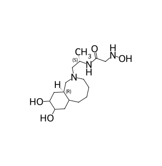 C[C@@H](CN1CCCCC2CC(O)C(O)C[C@H]2C1)NC(=O)CNO